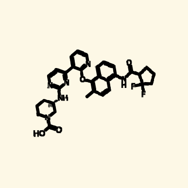 Cc1ccc2c(NC(=O)C3CCCC3(F)F)cccc2c1Oc1ncccc1-c1ccnc(N[C@H]2CCCN(C(=O)O)C2)n1